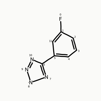 Fc1cccc(C2=N[N]N=N2)c1